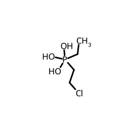 CCP(O)(O)(O)CCCl